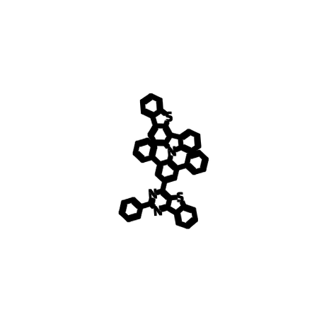 c1ccc(-c2nc(-c3cc(-c4ccccc4)c(-n4c5ccccc5c5c6sc7ccccc7c6ccc54)c(-c4ccccc4)c3)c3sc4ccccc4c3n2)cc1